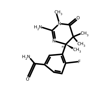 CN1C(=O)C(C)(C)[C@](C)(c2cc(C(N)=O)ccc2F)N=C1N